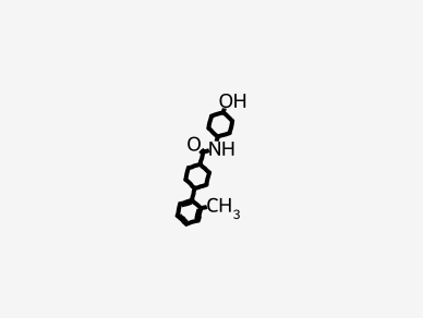 Cc1ccccc1C1CCC(C(=O)NC2CCC(O)CC2)CC1